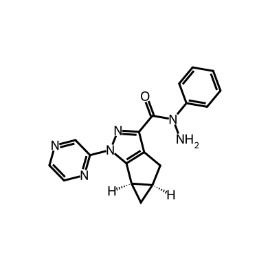 NN(C(=O)c1nn(-c2cnccn2)c2c1C[C@H]1C[C@@H]21)c1ccccc1